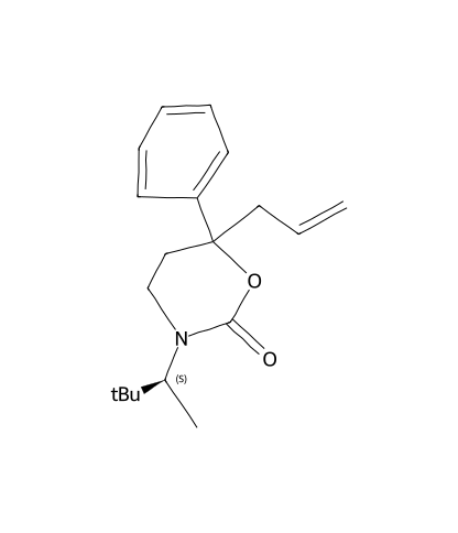 C=CCC1(c2ccccc2)CCN([C@@H](C)C(C)(C)C)C(=O)O1